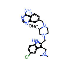 CN(C)Cc1c(CN2CCN(Cc3ccc4c(N)ncnc4c3)C(C=O)C2)[nH]c2ccc(Cl)cc12